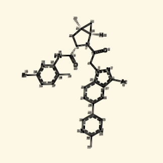 CC(=O)c1nn(CC(=O)N2[C@H](C(=O)Nc3nc(Br)ccc3C)C[C@@]3(C)C[C@@H]23)c2ccc(-c3cnc(C)nc3)cc12